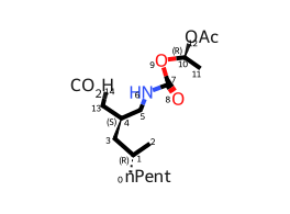 CCCCC[C@@H](C)C[C@H](CNC(=O)O[C@H](C)OC(C)=O)CC(=O)O